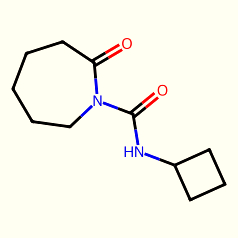 O=C1CCCCCN1C(=O)NC1CCC1